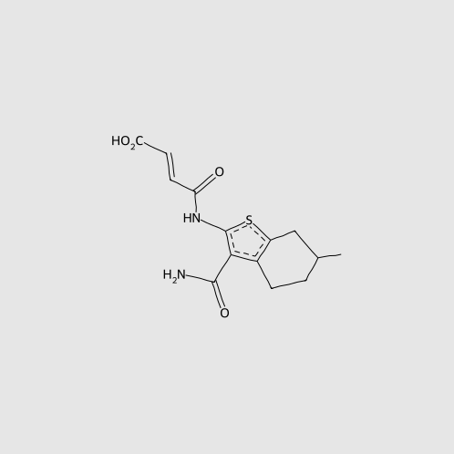 CC1CCc2c(sc(NC(=O)/C=C/C(=O)O)c2C(N)=O)C1